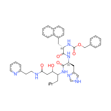 CC(C)CC(NC(=O)[C@H](Cc1c[nH]cn1)NC(=O)[C@H](Cc1cccc2ccccc12)NC(=O)OCc1ccccc1)C(O)CC(=O)NCCc1ccccn1